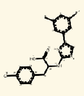 Cc1cc(F)cc(-c2csc(NC(Cc3ccc(Cl)cc3)C(=O)O)n2)c1